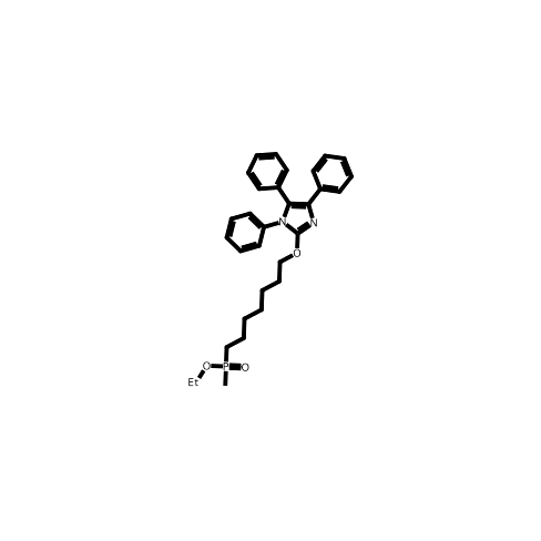 CCOP(C)(=O)CCCCCCCOc1nc(-c2ccccc2)c(-c2ccccc2)n1-c1ccccc1